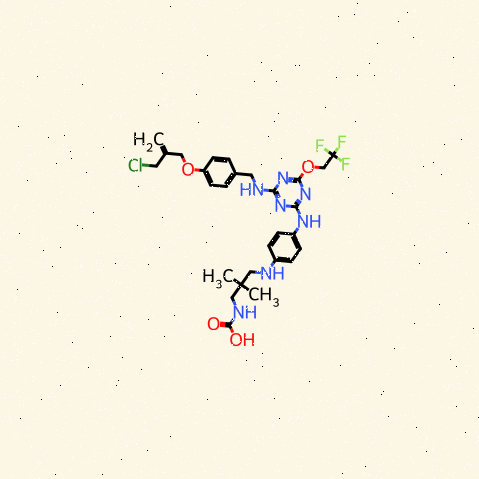 C=C(CCl)COc1ccc(CNc2nc(Nc3ccc(NCC(C)(C)CNC(=O)O)cc3)nc(OCC(F)(F)F)n2)cc1